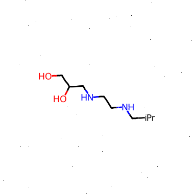 CC(C)CNCCNCC(O)CO